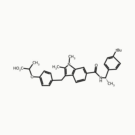 Cc1c(Cc2ccc(OC(C)C(=O)O)cc2)c2ccc(C(=O)N[C@@H](C)c3ccc(C(C)(C)C)cc3)cc2n1C